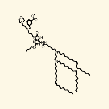 CCCCCCCC/C=C\CCCCCCCCN(CCCCCCCC/C=C\CCCCCCCC)CCCN(CCCCCCCC/C=C\CCCCCCCC)CCCCCC(=O)Nc1nc(OCCCC)nc2c1[nH]c(=O)n2CCCN(CCCN1CCOCC1)Cc1cccc(C(=O)OC)c1